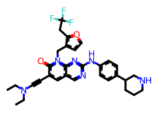 CCN(C#Cc1cc2cnc(Nc3ccc(C4CCCNC4)cc3)nc2n(Cc2ccoc2CC(F)(F)F)c1=O)CC